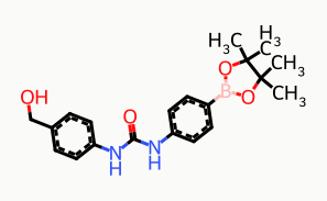 CC1(C)OB(c2ccc(NC(=O)Nc3ccc(CO)cc3)cc2)OC1(C)C